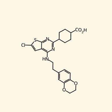 O=C(O)C1CCC(c2nc(NCCc3ccc4c(c3)OCCO4)c3cc(Cl)sc3n2)CC1